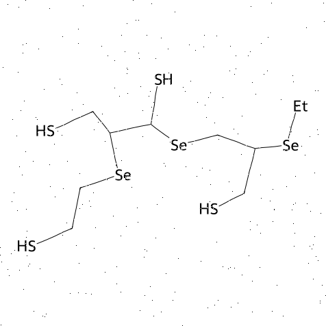 CC[Se]C(CS)C[Se]C(S)C(CS)[Se]CCS